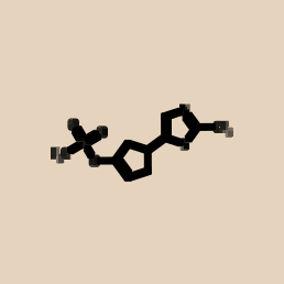 O=S(=O)(OC1=CCC(c2cnc(C(F)(F)F)s2)C1)C(F)(F)F